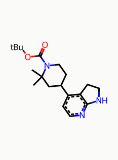 CC(C)(C)OC(=O)N1CCC(c2ccnc3c2CCN3)CC1(C)C